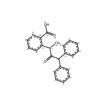 CN(C(=O)C(c1ccccc1)c1ccccc1)c1cccnc1C(=O)O